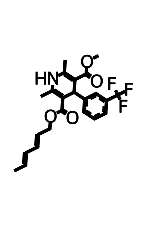 CC=CC=CCOC(=O)C1=C(C)NC(C)=C(C(=O)OC)C1c1cccc(C(F)(F)F)c1